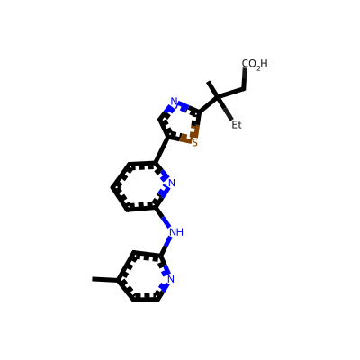 CCC(C)(CC(=O)O)c1ncc(-c2cccc(Nc3cc(C)ccn3)n2)s1